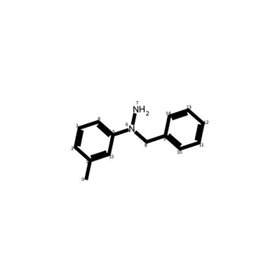 Cc1cccc(N(N)Cc2ccccc2)c1